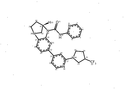 O=C(Nc1ccccn1)N1c2nc(-c3ccnc(N4CCC(C(F)(F)F)C4)c3)ccc2N2CC[C@H]1C2